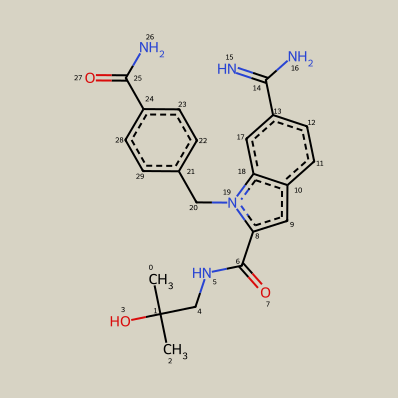 CC(C)(O)CNC(=O)c1cc2ccc(C(=N)N)cc2n1Cc1ccc(C(N)=O)cc1